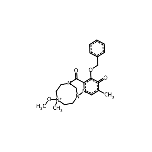 CO[N+]1(C)CCN2CN(CC1)n1cc(C)c(=O)c(OCc3ccccc3)c1C2=O